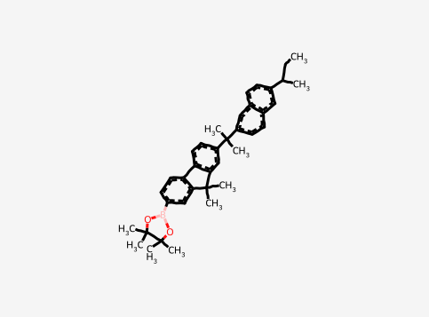 CCC(C)c1ccc2cc(C(C)(C)c3ccc4c(c3)C(C)(C)c3cc(B5OC(C)(C)C(C)(C)O5)ccc3-4)ccc2c1